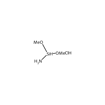 CO[SiH](N)OC.Cl